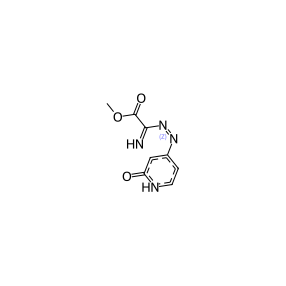 COC(=O)C(=N)/N=N\c1cc[nH]c(=O)c1